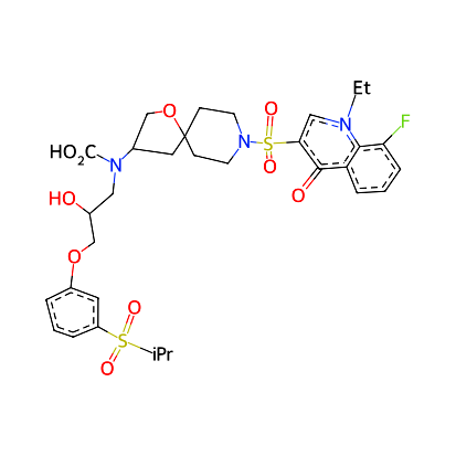 CCn1cc(S(=O)(=O)N2CCC3(CC2)CC(N(CC(O)COc2cccc(S(=O)(=O)C(C)C)c2)C(=O)O)CO3)c(=O)c2cccc(F)c21